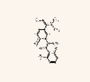 CNN(C(=O)c1c(Cl)cccc1C(F)(F)F)c1cc(/C(=N\C#N)N(C)C)ccc1C